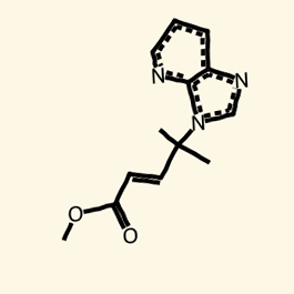 COC(=O)/C=C/C(C)(C)n1cnc2cccnc21